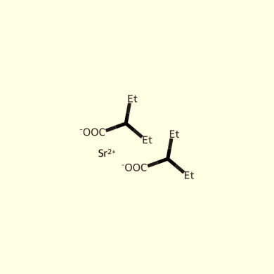 CCC(CC)C(=O)[O-].CCC(CC)C(=O)[O-].[Sr+2]